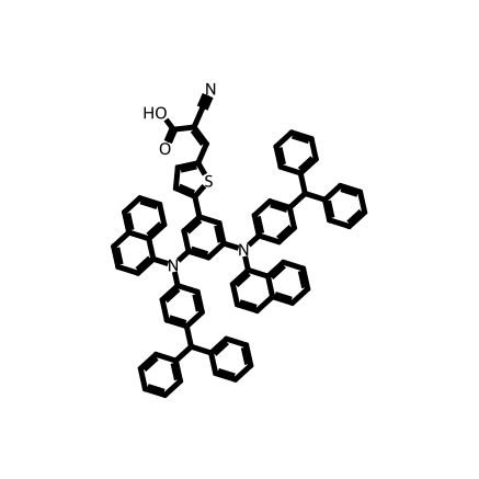 N#C/C(=C/c1ccc(-c2cc(N(c3ccc(C(c4ccccc4)c4ccccc4)cc3)c3cccc4ccccc34)cc(N(c3ccc(C(c4ccccc4)c4ccccc4)cc3)c3cccc4ccccc34)c2)s1)C(=O)O